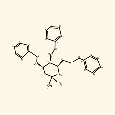 C[C@@]1(O)C[C@@H](OCc2ccccc2)[C@@H](OCc2ccccc2)[C@@H](COCc2ccccc2)O1